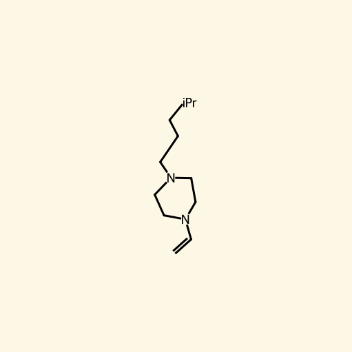 C=CN1CCN(CCCC(C)C)CC1